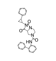 O=C(Nc1ccccc1-c1ccccc1)N1CCN2C(=O)N(C3CC3c3ccccc3)C(=O)C2C1